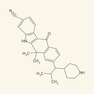 CC(C)C(c1ccc2c(c1)C(C)(C)c1[nH]c3cc(C#N)ccc3c1C2=O)C1CCNCC1